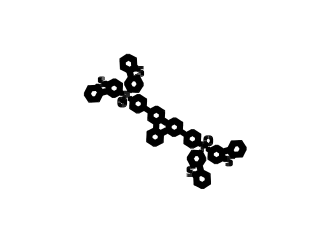 O=P(c1ccc(-c2ccc3c4ccc(-c5ccc(P(=O)(c6ccc7sc8ccccc8c7c6)c6ccc7sc8ccccc8c7c6)cc5)cc4c4ccccc4c3c2)cc1)(c1ccc2sc3ccccc3c2c1)c1ccc2sc3ccccc3c2c1